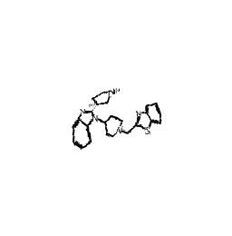 c1ccc2sc(CN3CCC(n4c([C@@H]5CCNC5)nc5ccccc54)CC3)nc2c1